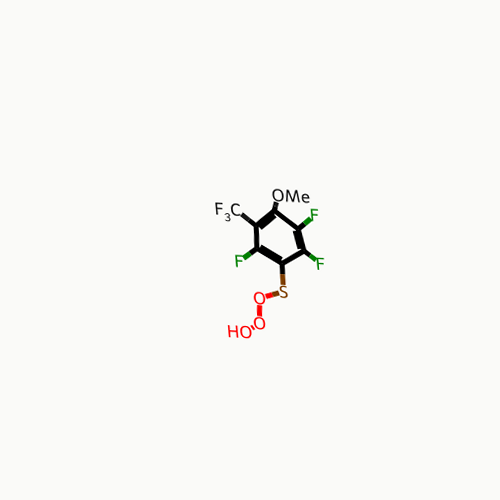 COc1c(F)c(F)c(SOOO)c(F)c1C(F)(F)F